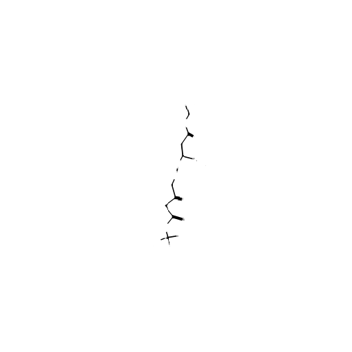 CCOC(=O)CC(N)CCCC(=O)CC(=O)OC(C)(C)C